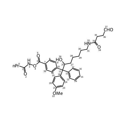 CCCC(=O)NOC(=O)c1ccc(C(c2ccccc2)(c2ccc(OC)cc2)C(O)CCCCCNC(=O)CCC=O)cc1